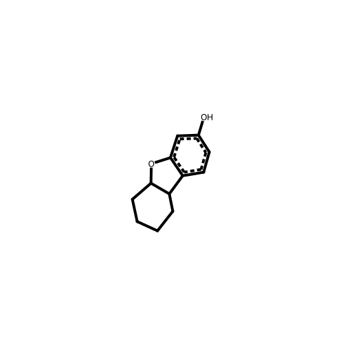 Oc1ccc2c(c1)OC1CCCCC21